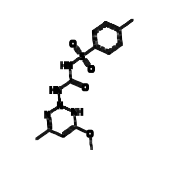 COC1=CC(C)=NN(NC(=O)NS(=O)(=O)c2ccc(C)cc2)N1